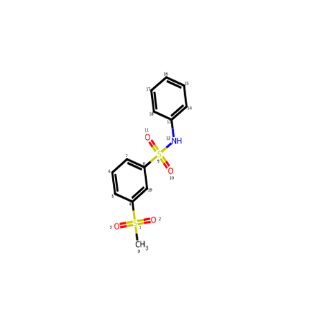 CS(=O)(=O)c1cccc(S(=O)(=O)Nc2ccccc2)c1